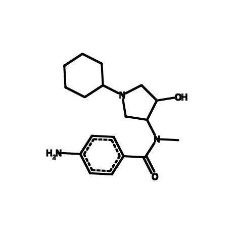 CN(C(=O)c1ccc(N)cc1)C1CN(C2CCCCC2)CC1O